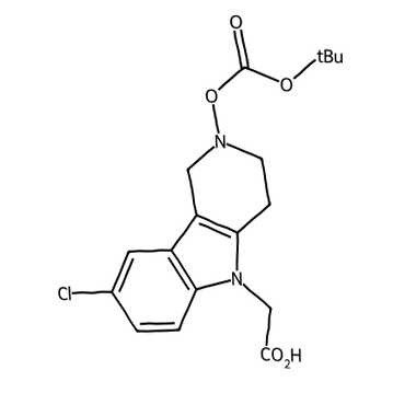 CC(C)(C)OC(=O)ON1CCc2c(c3cc(Cl)ccc3n2CC(=O)O)C1